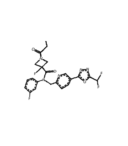 CCC(=O)N1CC(F)(C(=O)N(Cc2ccc(-c3nnc(C(F)F)o3)cn2)c2cccc(F)c2)C1